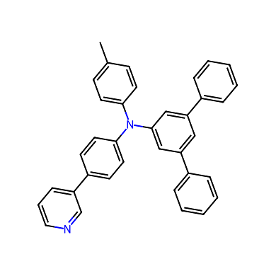 Cc1ccc(N(c2ccc(-c3cccnc3)cc2)c2cc(-c3ccccc3)cc(-c3ccccc3)c2)cc1